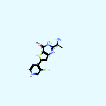 C[C@H](N)c1nc2cc(-c3ccncc3F)sc2c(=O)[nH]1